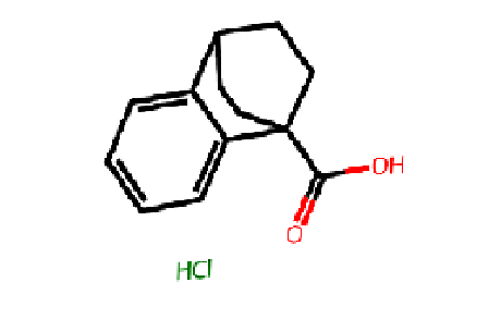 Cl.O=C(O)C12CCC(CC1)c1ccccc12